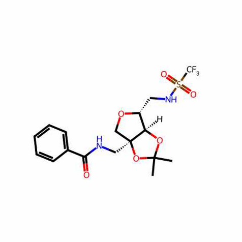 CC1(C)O[C@@H]2[C@@H](CNS(=O)(=O)C(F)(F)F)OC[C@]2(CNC(=O)c2ccccc2)O1